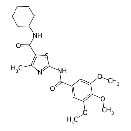 COc1cc(C(=O)Nc2nc(C)c(C(=O)NC3CCCCC3)s2)cc(OC)c1OC